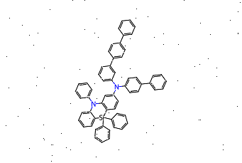 c1ccc(-c2ccc(-c3cccc(N(c4ccc(-c5ccccc5)cc4)c4ccc5c(c4)N(c4ccccc4)c4ccccc4[Si]5(c4ccccc4)c4ccccc4)c3)cc2)cc1